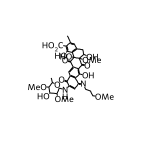 COCCCN=C1C=C(NC2OC(C)C(OC)C(O)C2OC)C(=O)c2cc3c(c(O)c21)C(=O)C1(OC)C(O)Cc2cc(C)c(C(=O)O)c(O)c2C1(O)C3=O